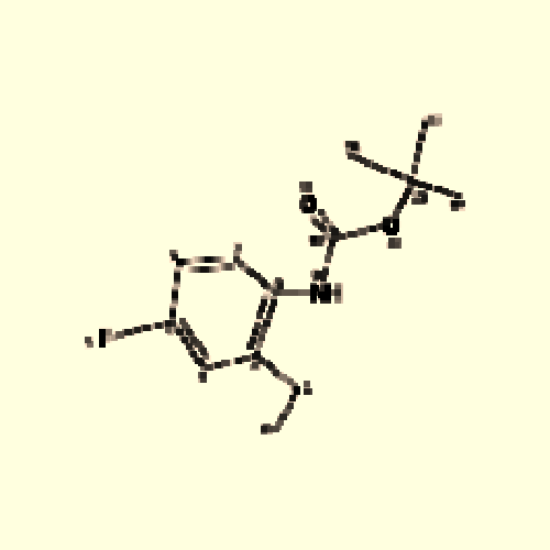 CCc1cc(F)ccc1NC(=O)OC(C)(C)C